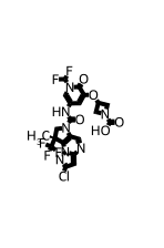 C[C@@]1(C(F)(F)F)CN(C(=O)Nc2cc(OC3CN(C(=O)O)C3)c(=O)n(C(F)F)c2)c2cnc3cc(Cl)nn3c21